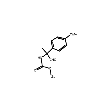 COc1ccc(C(C)(C=O)NC(=O)OC(C)(C)C)cc1